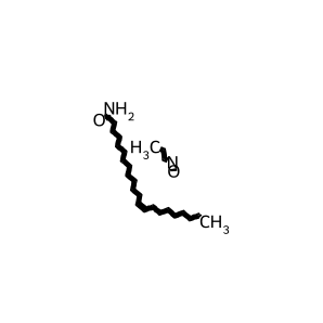 CCCCCCCC/C=C\CCCCCCCCCCCC(N)=O.CCCN=O